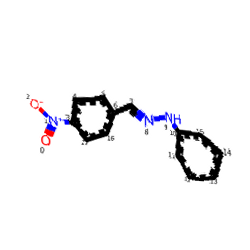 O=[N+]([O-])c1ccc(/C=N/Nc2ccccc2)cc1